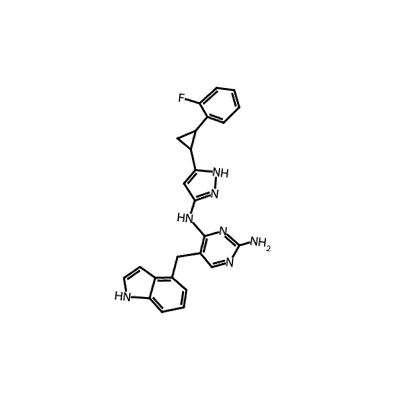 Nc1ncc(Cc2cccc3[nH]ccc23)c(Nc2cc(C3CC3c3ccccc3F)[nH]n2)n1